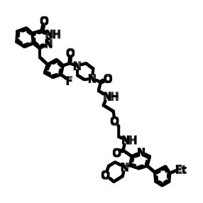 CCc1cccc(-c2cnc(C(=O)NCCOCCNCC(=O)N3CCN(C(=O)c4cc(Cc5n[nH]c(=O)c6ccccc56)ccc4F)CC3)c(N3CCOCC3)c2)c1